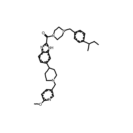 CCC(C)c1ccc(CN2CCN(C(=O)c3nc4ccc(C5CCN(Cc6ccc(OC)nc6)CC5)cc4[nH]3)CC2)cc1